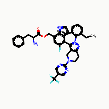 CCc1cccc(CC)c1-n1nc2c(c1-c1c(F)cc(COC(=O)[C@@H](N)Cc3ccccc3)c3[nH]ccc13)CN(c1ncc(C(F)(F)F)cn1)CC2